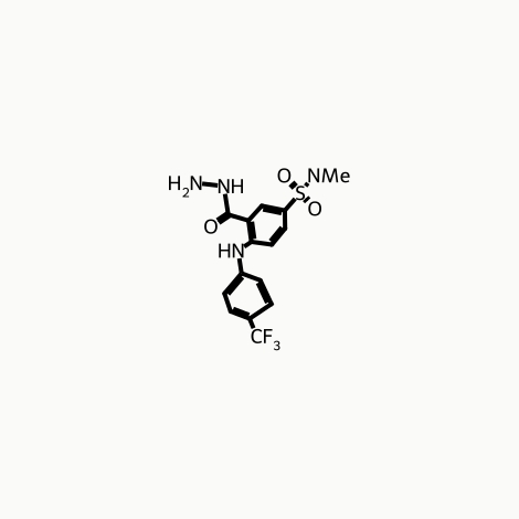 CNS(=O)(=O)c1ccc(Nc2ccc(C(F)(F)F)cc2)c(C(=O)NN)c1